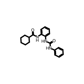 O=C(Nc1ccccc1)Nc1ccccc1NC(=O)C1CCCCC1